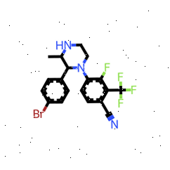 CC1NCCN(c2ccc(C#N)c(C(F)(F)F)c2F)C1c1ccc(Br)cc1